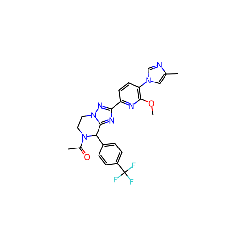 COc1nc(-c2nc3n(n2)CCN(C(C)=O)C3c2ccc(C(F)(F)F)cc2)ccc1-n1cnc(C)c1